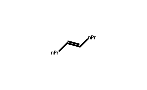 [CH]CCC=CCC[CH2]